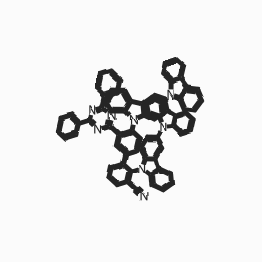 N#Cc1cccc(-c2ccc(-n3c4ccccc4c4cc(-n5c6ccccc6c6ccccc65)ccc43)c(-c3nc(-c4ccccc4)nc(-c4ccccc4)n3)c2)c1-n1c2ccccc2c2cc(-n3c4ccccc4c4ccccc43)ccc21